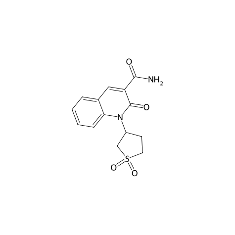 NC(=O)c1cc2ccccc2n(C2CCS(=O)(=O)C2)c1=O